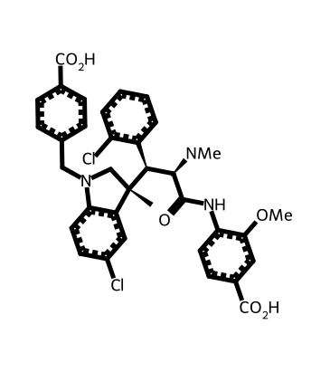 CN[C@@H](C(=O)Nc1ccc(C(=O)O)cc1OC)[C@H](c1ccccc1Cl)[C@@]1(C)CN(Cc2ccc(C(=O)O)cc2)c2ccc(Cl)cc21